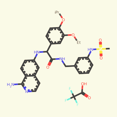 CCOc1cc(C(Nc2ccc3c(N)nccc3c2)C(=O)NCc2cccc(NS(C)(=O)=O)c2)ccc1OC(C)C.O=C(O)C(F)(F)F